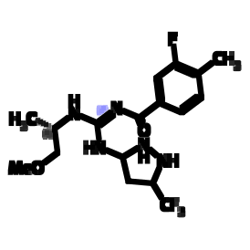 COC[C@H](C)N/C(=N/C(=O)c1ccc(C)c(F)c1)NC1CC(C(F)(F)F)NN1